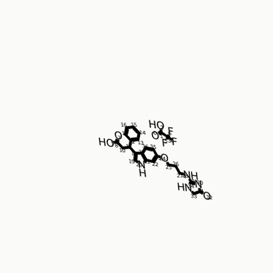 O=C(O)C(F)(F)F.O=C(O)CC(c1ccccc1)c1c[nH]c2cc(OCCCNC3=NC(=O)CN3)ccc12